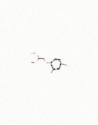 CCOC(COc1ccc(Br)cc1C)OCC